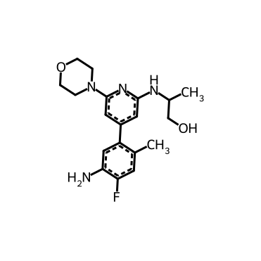 Cc1cc(F)c(N)cc1-c1cc(NC(C)CO)nc(N2CCOCC2)c1